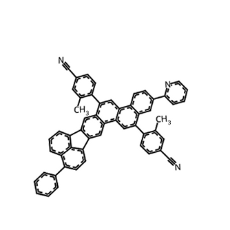 Cc1cc(C#N)ccc1-c1cc2c3cc4c(cc3c(-c3ccc(C#N)cc3C)cc2c2ccc(-c3ccccn3)cc12)-c1cccc2c(-c3ccccc3)ccc-4c12